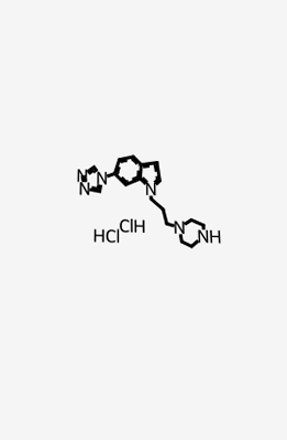 Cl.Cl.c1cc2ccn(CCCN3CCNCC3)c2cc1-n1cnnc1